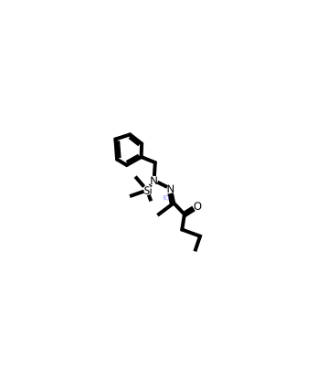 CCCC(=O)/C(C)=N/N(Cc1ccccc1)[Si](C)(C)C